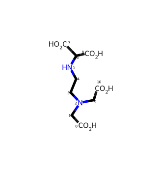 O=C(O)CN(CCNC(C(=O)O)C(=O)O)CC(=O)O